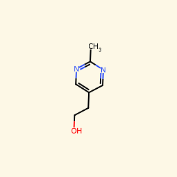 Cc1ncc(CCO)cn1